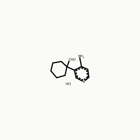 Cl.Nc1ccncc1C1(C=O)CCCCC1